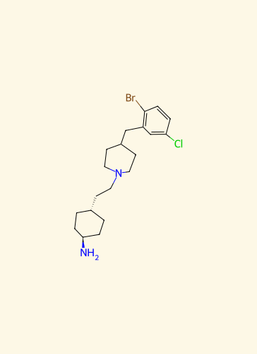 N[C@H]1CC[C@H](CCN2CCC(Cc3cc(Cl)ccc3Br)CC2)CC1